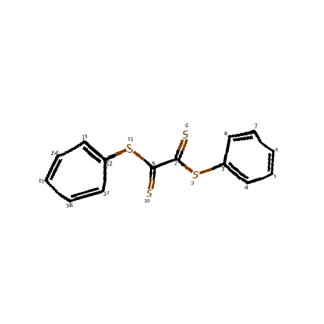 S=C(Sc1ccccc1)C(=S)Sc1ccccc1